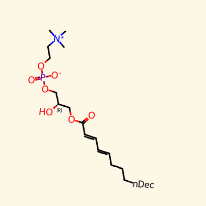 CCCCCCCCCCCCCC=CC=CC(=O)OC[C@@H](O)COP(=O)([O-])OCC[N+](C)(C)C